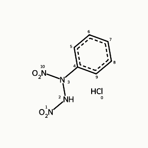 Cl.O=[N+]([O-])NN(c1ccccc1)[N+](=O)[O-]